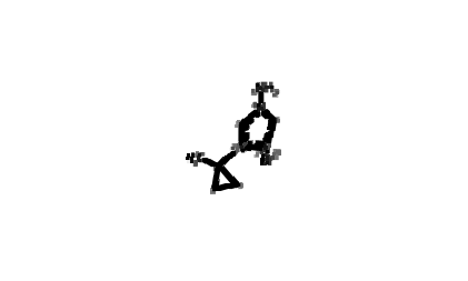 CC1([n+]2cn(N)cn2)CC1.[Br-]